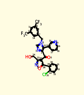 O=C(c1ncn(Cc2cc(C(F)(F)F)cc(C(F)(F)F)c2)c1-c1cccnc1)c1c(CO)noc1-c1ccccc1Cl